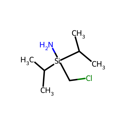 CC(C)[Si](N)(CCl)C(C)C